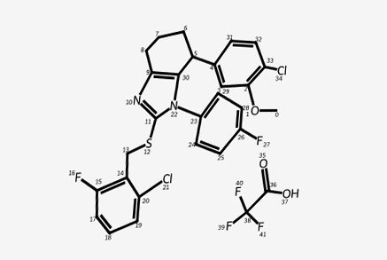 COc1cc(C2CCCc3nc(SCc4c(F)cccc4Cl)n(-c4ccc(F)cc4)c32)ccc1Cl.O=C(O)C(F)(F)F